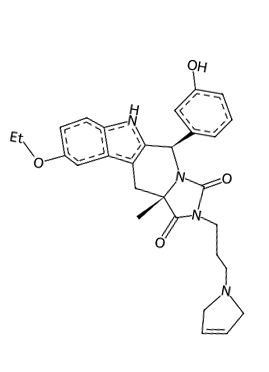 CCOc1ccc2[nH]c3c(c2c1)C[C@@]1(C)C(=O)N(CCCN2CC=CC2)C(=O)N1[C@@H]3c1cccc(O)c1